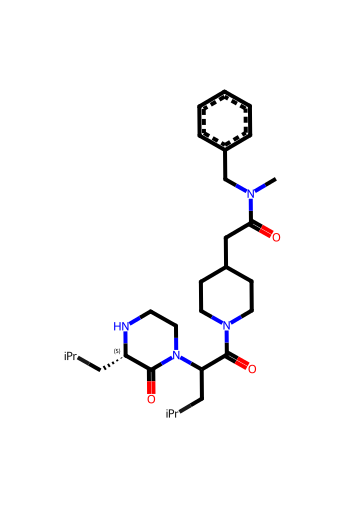 CC(C)CC(C(=O)N1CCC(CC(=O)N(C)Cc2ccccc2)CC1)N1CCN[C@@H](CC(C)C)C1=O